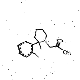 Cc1ccccc1C1(C)CCCCN1CC(=O)O